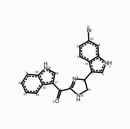 O=C(C1=NC(c2c[nH]c3cc(Br)ccc23)CN1)c1c[nH]c2ccccc12